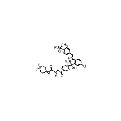 BC(B)(c1cc(Cl)ccc1NCc1ccc(C(C)(C)O)cc1)N1CCN(C(=O)CNC(=O)C2CC23CCC(F)(F)CC3)CC1